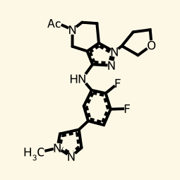 CC(=O)N1CCc2c(c(Nc3cc(-c4cnn(C)c4)cc(F)c3F)nn2C2CCOC2)C1